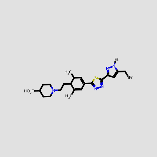 CCn1nc(-c2nnc(C3=CC(C)C(CCN4CCC(C(=O)O)CC4)C(C)=C3)s2)cc1CC(C)C